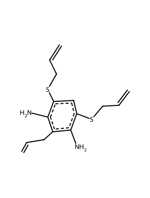 C=CCSc1cc(SCC=C)c(N)c(CC=C)c1N